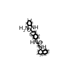 Nc1ccccc1NC(=O)c1cc2ccc(NC(=O)CNC3CCCc4ccccc43)cc2s1